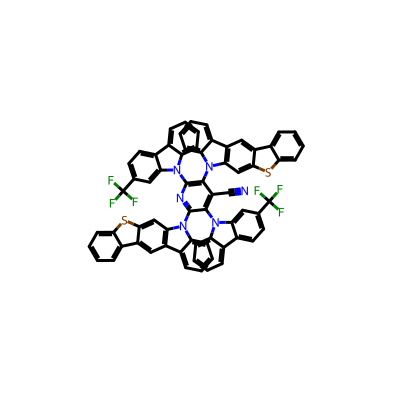 N#Cc1c(-n2c3ccccc3c3ccc(C(F)(F)F)cc32)c(-n2c3ccccc3c3cc4c(cc32)sc2ccccc24)nc(-n2c3ccccc3c3ccc(C(F)(F)F)cc32)c1-n1c2ccccc2c2cc3c(cc21)sc1ccccc13